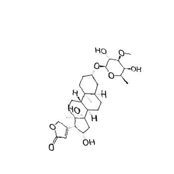 CO[C@H]1[C@@H](O)[C@@H](C)O[C@@H](O[C@H]2CC[C@@]3(C)[C@H](CC[C@@H]4[C@@H]3CC[C@]3(C)[C@@H](C5=CC(=O)OC5)[C@@H](O)C[C@]43O)C2)[C@@H]1O